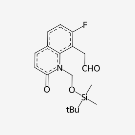 CC(C)(C)[Si](C)(C)OCn1c(=O)ccc2ccc(F)c(CC=O)c21